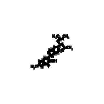 CC[C@@H](C)CN(CC(C)C)c1ccc2nc(-c3cc4cn(C)nc4c(F)c3O)ncc2c1